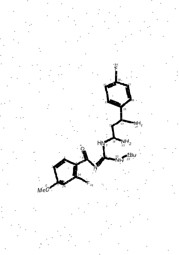 COc1ccc(C(=O)/N=C(\NC(N)CC(N)c2ccc(F)cc2)NC(C)(C)C)c(F)c1